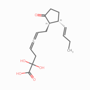 CCC=C[C@H]1CCC(=O)[C@@H]1CC=C=CCC(O)(O)C(=O)O